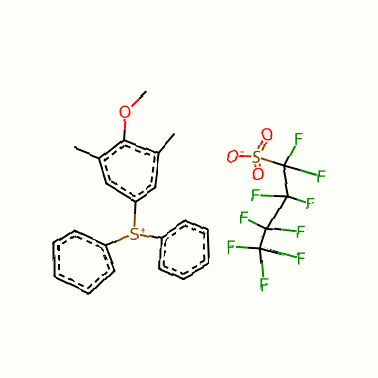 COc1c(C)cc([S+](c2ccccc2)c2ccccc2)cc1C.O=S(=O)([O-])C(F)(F)C(F)(F)C(F)(F)C(F)(F)F